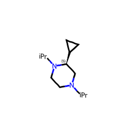 CC(C)N1CCN(C(C)C)[C@@H](C2CC2)C1